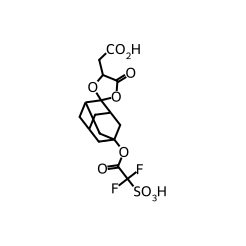 O=C(O)CC1OC2(OC1=O)C1CC3CC2CC(OC(=O)C(F)(F)S(=O)(=O)O)(C3)C1